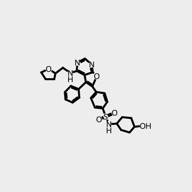 O=S(=O)(NC1CCC(O)CC1)c1ccc(-c2oc3ncnc(NCC4CCCO4)c3c2-c2ccccc2)cc1